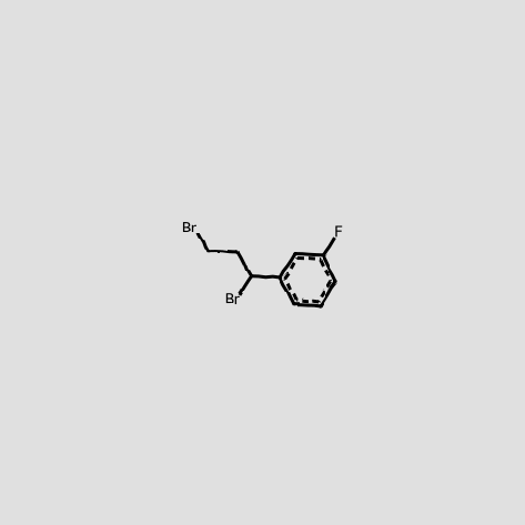 Fc1cccc(C(Br)CCBr)c1